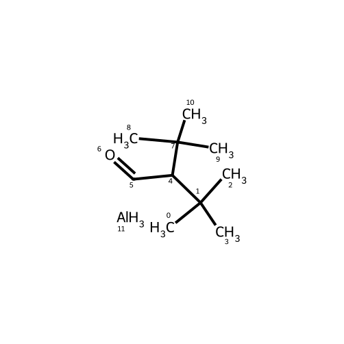 CC(C)(C)C(C=O)C(C)(C)C.[AlH3]